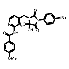 COc1ccc(C(=O)Nc2cc(CN3C(=O)N(c4ccc(C(C)(C)C)cc4)C(=O)C3(C)C)ccn2)cc1